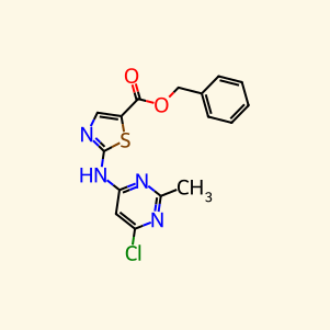 Cc1nc(Cl)cc(Nc2ncc(C(=O)OCc3ccccc3)s2)n1